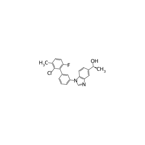 Cc1ccc(F)c(-c2cccc(-n3cnc4cc([C@H](C)O)ccc43)c2)c1Cl